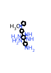 CN(c1ccccc1)c1ccc(C2=C(N)C(N)=C(c3ccc(N)cc3)C(=N)C2=N)cc1